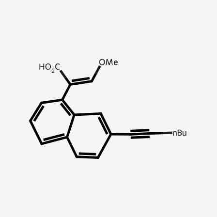 CCCCC#Cc1ccc2cccc(C(=COC)C(=O)O)c2c1